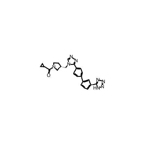 O=C(C1CC1)N1CC[C@H](Cn2cnnc2-c2ccc(-c3cccc(-c4nnn[nH]4)c3)cc2)C1